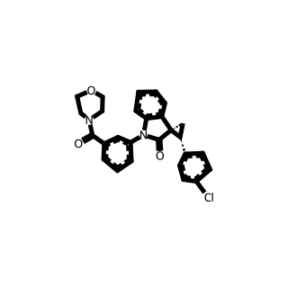 O=C(c1cccc(N2C(=O)[C@@]3(C[C@@H]3c3ccc(Cl)cc3)c3ccccc32)c1)N1CCOCC1